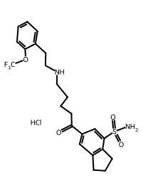 Cl.NS(=O)(=O)c1cc(C(=O)CCCCNCCc2ccccc2OC(F)(F)F)cc2c1CCC2